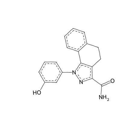 NC(=O)c1nn(-c2cccc(O)c2)c2c1CCc1ccccc1-2